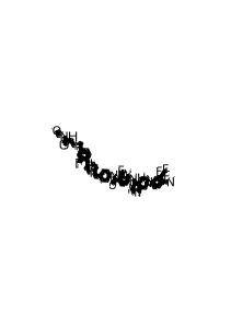 CN(CCC(=O)NC=O)c1ccc(N2CCN(CC3CCC(NC(=O)c4ccc(Nc5ncnc6c5CCN(c5ccc(C#N)c(C(F)(F)F)c5)C6)nc4F)CC3)CC2)c(F)c1